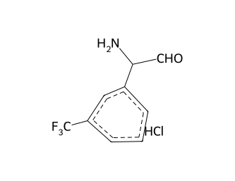 Cl.NC(C=O)c1cccc(C(F)(F)F)c1